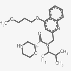 COCCCOc1cc(CN(C(=O)[C@H]2CNCCO2)C(C)C(C)C)nc2ccccc12